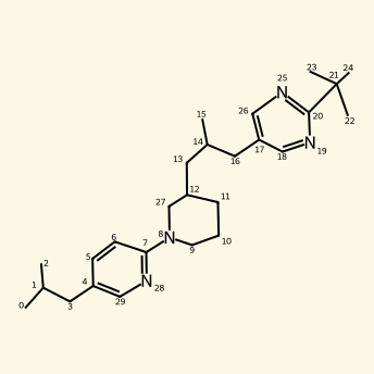 CC(C)Cc1ccc(N2CCCC(CC(C)Cc3cnc(C(C)(C)C)nc3)C2)nc1